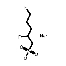 O=S(=O)([O-])CC(F)CCCF.[Na+]